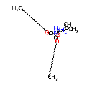 CCCCCCCCCCCCCCCCCCCCCCOc1ccc(C(NC(=O)[C@@H](N)CCCc2cc(C)cc(C)c2)c2ccc(OCCCCCCCCCCCCCCCCCCCCCC)cc2)cc1